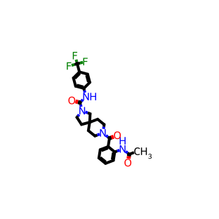 CC(=O)Nc1ccccc1C(=O)N1CCC2(CCN(C(=O)Nc3ccc(C(F)(F)F)cc3)C2)CC1